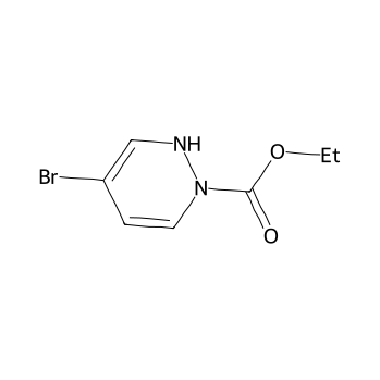 CCOC(=O)N1C=CC(Br)=CN1